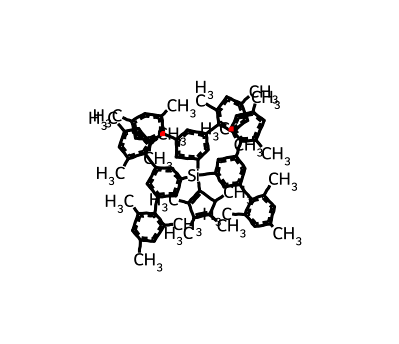 CC1=C(C)C(C)C([Si](c2cc(-c3c(C)cc(C)cc3C)cc(-c3c(C)cc(C)cc3C)c2)(c2cc(-c3c(C)cc(C)cc3C)cc(-c3c(C)cc(C)cc3C)c2)c2cc(-c3c(C)cc(C)cc3C)cc(-c3c(C)cc(C)cc3C)c2)=C1C